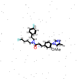 COc1cc(/C=C/C(=O)N(CCCCF)CCc2ccc(F)cc2)ccc1-n1cnc(C)c1